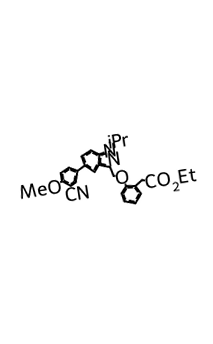 CCOC(=O)Cc1ccccc1OCc1nn(C(C)C)c2ccc(-c3ccc(OC)c(C#N)c3)cc12